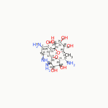 C[C@H]1O[C@@H]([C@@H]2[C@@H](O)[C@H](N)C[C@H](N)[C@H]2[C@H]2O[C@H](CN)[C@@H](O)[C@H](O)[C@H]2N)[C@H](O)[C@@H](O)[C@@H]1O